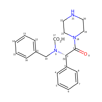 O=C([C@H](c1ccccc1)N(Cc1ccccc1)C(=O)O)N1CCNCC1